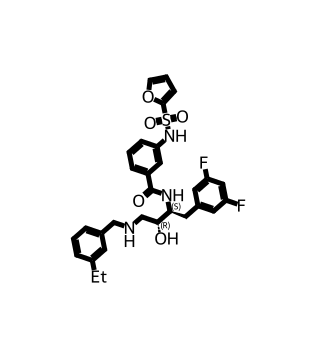 CCc1cccc(CNC[C@@H](O)[C@H](Cc2cc(F)cc(F)c2)NC(=O)c2cccc(NS(=O)(=O)c3ccco3)c2)c1